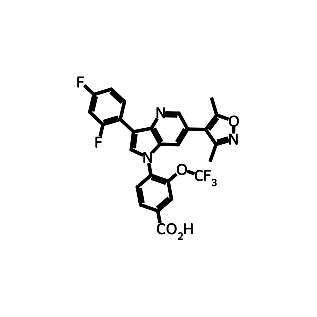 Cc1noc(C)c1-c1cnc2c(-c3ccc(F)cc3F)cn(-c3ccc(C(=O)O)cc3OC(F)(F)F)c2c1